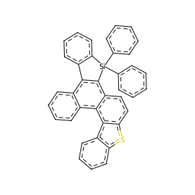 c1ccc([Si]2(c3ccccc3)c3ccccc3-c3c2c2ccc4sc5ccccc5c4c2c2ccccc32)cc1